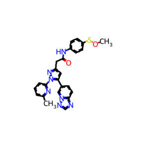 COSc1ccc(NC(=O)Cc2cc(-c3ccc4ncnn4c3)n(-c3cccc(C)n3)n2)cc1